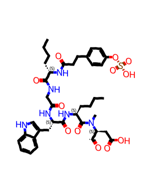 CCCC[C@H](NC(=O)CCc1ccc(OS(=O)(=O)O)cc1)C(=O)NCC(=O)N[C@@H](Cc1c[nH]c2ccccc12)C(=O)N[C@@H](CCCC)C(=O)N(C)[C@H]([C]=O)CC(=O)O